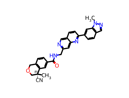 Cn1ncc2ccc(-c3ccc4cnc(CNC(=O)c5ccc6c(c5)[C@](C)(C#N)COC6)cc4n3)cc21